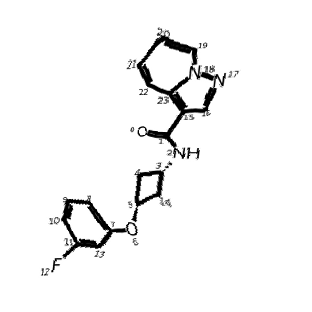 O=C(N[C@H]1C[C@H](Oc2cccc(F)c2)C1)c1cnn2ccccc12